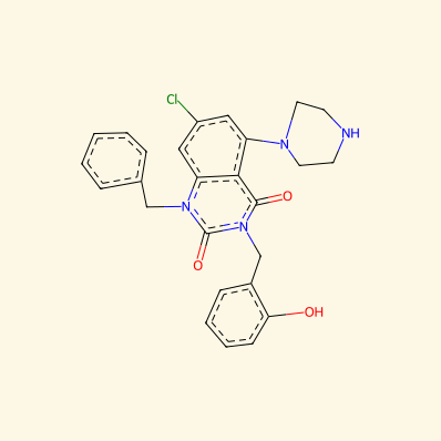 O=c1c2c(N3CCNCC3)cc(Cl)cc2n(Cc2ccccc2)c(=O)n1Cc1ccccc1O